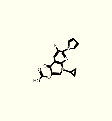 O=C(O)Oc1cn(C2CC2)c2nc(-n3cccc3)c(F)cc2c1=O